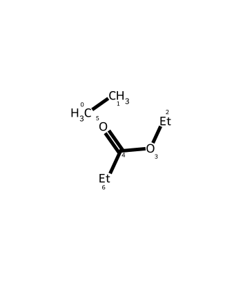 CC.CCOC(=O)CC